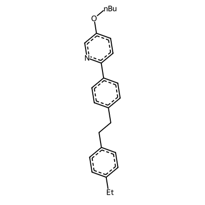 CCCCOc1ccc(-c2ccc(CCc3ccc(CC)cc3)cc2)nc1